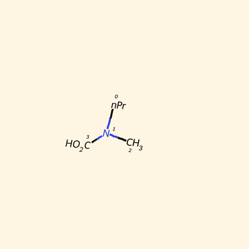 [CH2]CCN(C)C(=O)O